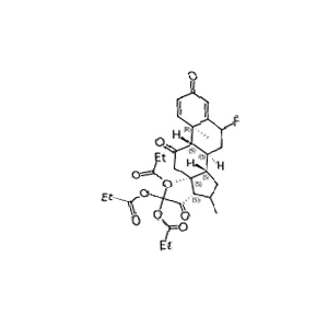 CCC(=O)OC(OC(=O)CC)(OC(=O)CC)C(=O)[C@H]1C(C)C[C@H]2[C@@H]3CC(F)C4=CC(=O)C=C[C@]4(C)[C@H]3C(=O)C[C@]12C